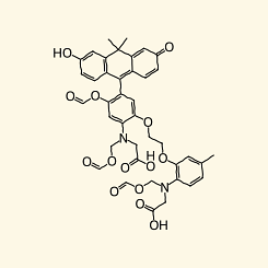 Cc1ccc(N(COC=O)CC(=O)O)c(OCCOc2cc(C3=C4C=CC(=O)C=C4C(C)(C)c4cc(O)ccc43)c(OC=O)cc2N(COC=O)CC(=O)O)c1